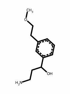 COCCc1cccc(C(O)CCN)c1